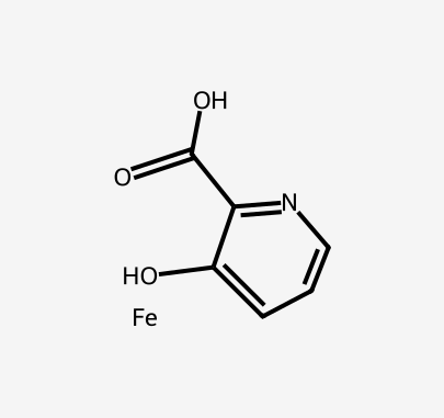 O=C(O)c1ncccc1O.[Fe]